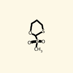 CS(=O)(=O)C1OCCCS1